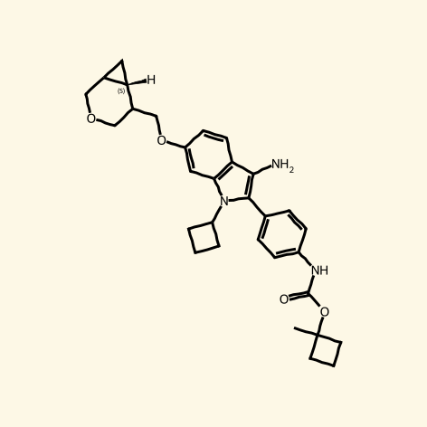 CC1(OC(=O)Nc2ccc(-c3c(N)c4ccc(OCC5COCC6C[C@H]56)cc4n3C3CCC3)cc2)CCC1